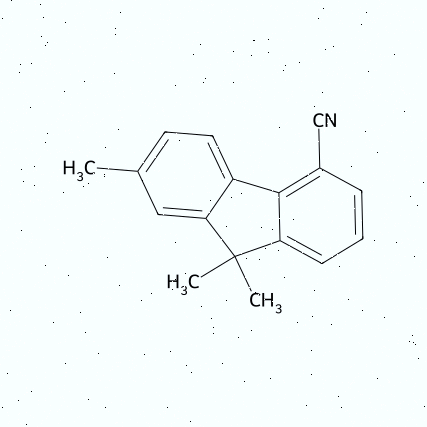 Cc1ccc2c(c1)C(C)(C)c1cccc(C#N)c1-2